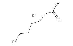 O=C([O-])CCCCCBr.[K+]